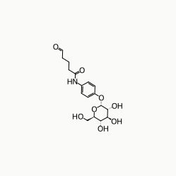 O=CCCCC(=O)Nc1ccc(O[C@H]2O[C@H](CO)[C@@H](O)[C@H](O)[C@H]2O)cc1